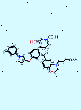 COCCCN1CCOc2ccc(CO[C@H]3CN(C(=O)O)C[C@@H](O)[C@@H]3c3ccc(OC4CCN(c5cccc(F)c5)C4)cc3)cc21